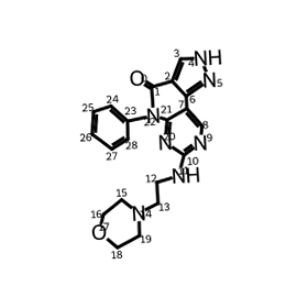 O=c1c2c[nH]nc2c2cnc(NCCN3CCOCC3)nc2n1-c1ccccc1